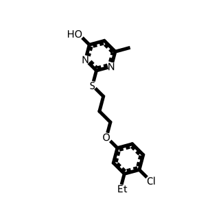 CCc1cc(OCCCSc2nc(C)cc(O)n2)ccc1Cl